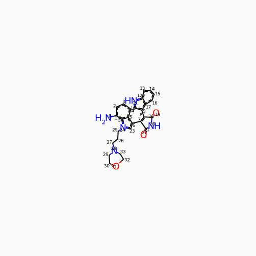 Nc1cccc2c(C3=C(c4c[nH]c5ccccc45)C(=O)NC3=O)cn(CCCN3CCOCC3)c12